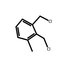 Cc1cccc(CCl)c1CCl